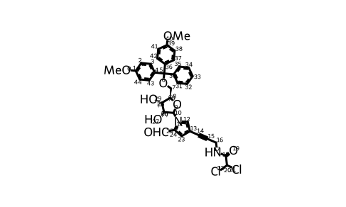 COc1ccc(C(OC[C@H]2OC(n3cc(C#CCNC(=O)C(Cl)Cl)cc3C=O)[C@H](O)[C@@H]2O)(c2ccccc2)c2ccc(OC)cc2)cc1